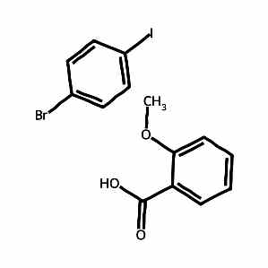 Brc1ccc(I)cc1.COc1ccccc1C(=O)O